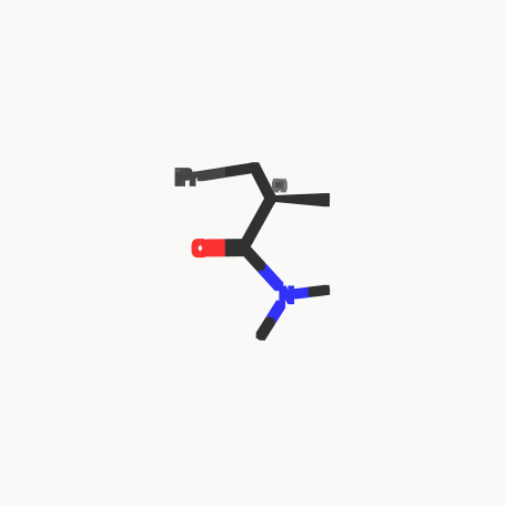 CC(C)C[C@@H](C)C(=O)N(C)C